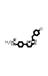 C[S+]([O-])Nc1ccc(-c2ccc3nnc(Cc4ccc(Cl)cc4)n3n2)cc1